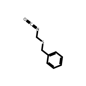 O=C=NCSCc1ccccc1